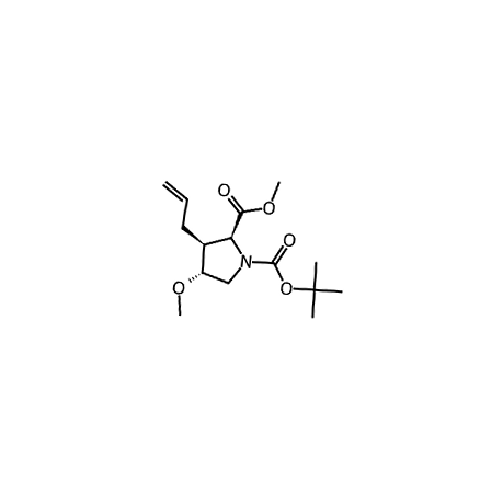 C=CC[C@@H]1[C@@H](OC)CN(C(=O)OC(C)(C)C)[C@@H]1C(=O)OC